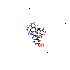 Cc1c(F)cccc1[C@@H]1[C@@H](C(=O)c2cccc(O)c2)[C@H](C)N[C@H](C)[C@H]1C(=O)c1cccc(O)c1